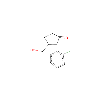 Fc1ccccc1.O=C1CCC(CO)C1